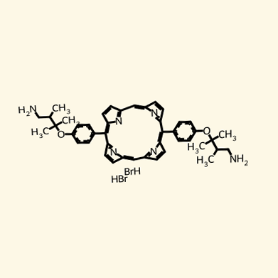 Br.Br.CC(CN)C(C)(C)Oc1ccc(C2=C3C=CC(=N3)C=C3C=CC(=N3)C(c3ccc(OC(C)(C)C(C)CN)cc3)=C3C=CC(=N3)C=C3C=CC2=N3)cc1